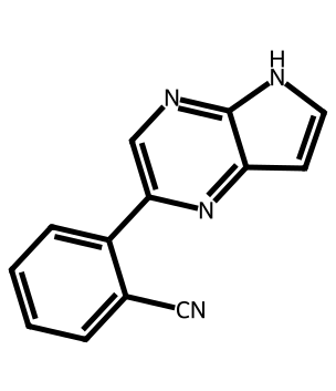 N#Cc1ccccc1-c1cnc2[nH]ccc2n1